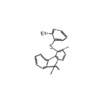 CCc1ccccc1Sc1c(C)ccc2c1-c1ccccc1C2(C)C